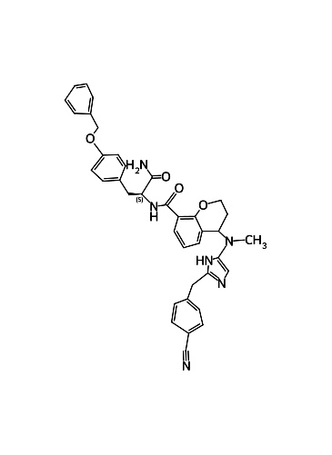 CN(c1cnc(Cc2ccc(C#N)cc2)[nH]1)C1CCOc2c(C(=O)N[C@@H](Cc3ccc(OCc4ccccc4)cc3)C(N)=O)cccc21